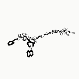 C[C@@H]1CN(c2nc(OCCOCCOCCOCCNC(=O)OC(C)(C)C)nc3c2CCN(c2cccc4ccccc24)C3)CCN1C(=O)OCc1ccccc1